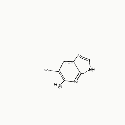 CC(C)c1cc2cc[nH]c2nc1N